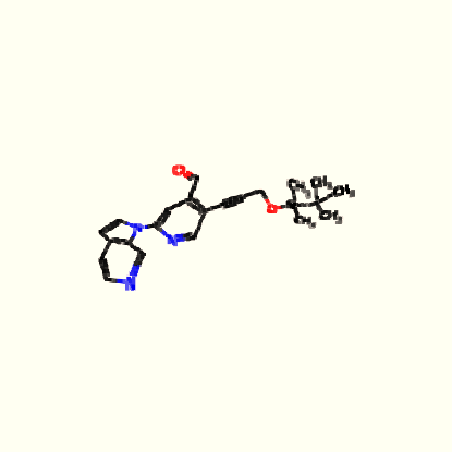 CC(C)(C)[Si](C)(C)OCC#Cc1cnc(-n2ccc3ccncc32)cc1C=O